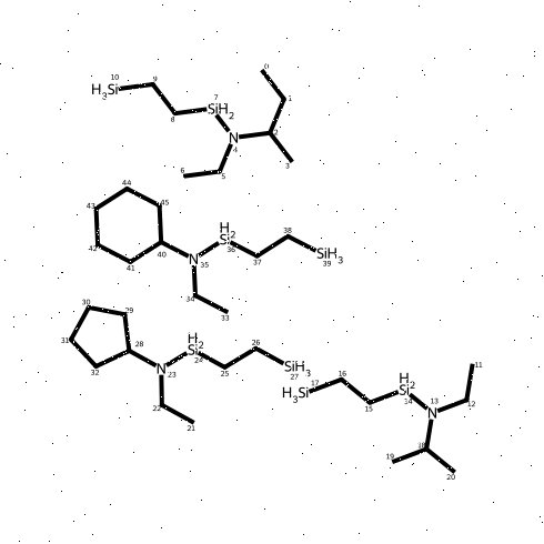 CCC(C)N(CC)[SiH2]CC[SiH3].CCN([SiH2]CC[SiH3])C(C)C.CCN([SiH2]CC[SiH3])C1CCCC1.CCN([SiH2]CC[SiH3])C1CCCCC1